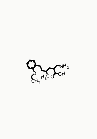 CCOc1ccccc1CCC(C)CC(CN)C(=O)O